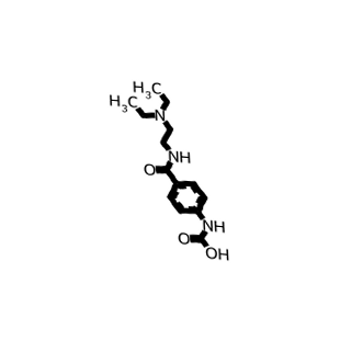 CCN(CC)CCNC(=O)c1ccc(NC(=O)O)cc1